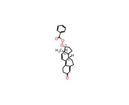 C[C@]12C=CC3=C4CCC(=O)C=C4CC[C@H]3[C@@H]1CC[C@@H]2OOC(=O)c1ccccc1